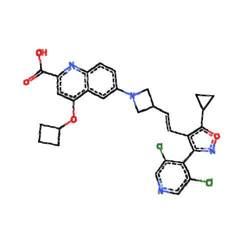 O=C(O)c1cc(OC2CCC2)c2cc(N3CC(C=Cc4c(-c5c(Cl)cncc5Cl)noc4C4CC4)C3)ccc2n1